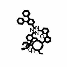 C#CC1=C(/C=C\C)C2CC/C=C(c3cccc4c3oc3c(-c5nc(-c6ccc(C7=CC=CCC7)c(C7=CCCC=C7)c6)nc(C6CCCC(C)(CCC)C6CC)n5)cccc34)\C=C/C(CC)C[C@H]2O1